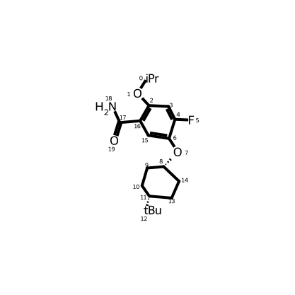 CC(C)Oc1cc(F)c(O[C@H]2CC[C@@H](C(C)(C)C)CC2)cc1C(N)=O